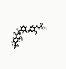 CCc1cc(Oc2cccc([C@@H](C)NC(=O)c3ccc(C(F)(F)F)cc3OC)c2)ccc1CCC(=O)O